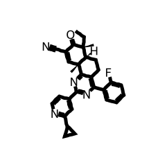 CC[C@@]1(C)C(=O)C(C#N)=C[C@@]2(C)c3nc(-c4ccnc(C5CC5)c4)nc(-c4ccccc4F)c3CC[C@H]12